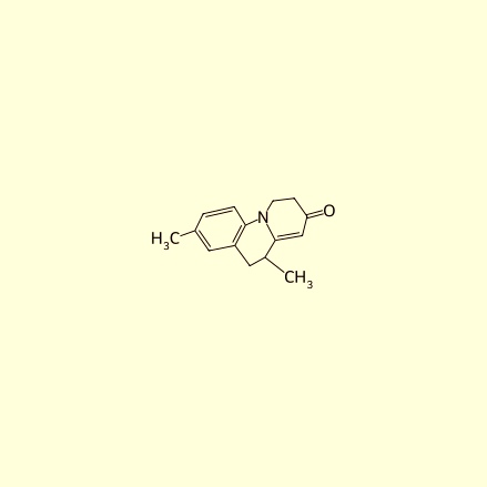 Cc1ccc2c(c1)CC(C)C1=CC(=O)CCN12